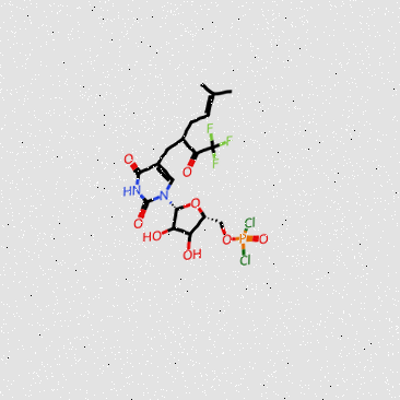 CC(C)=CCC(Cc1cn([C@@H]2O[C@H](COP(=O)(Cl)Cl)C(O)C2O)c(=O)[nH]c1=O)C(=O)C(F)(F)F